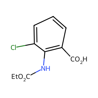 CCOC(=O)Nc1c(Cl)cccc1C(=O)O